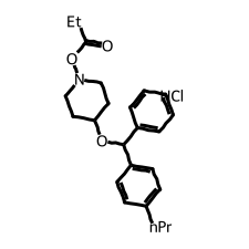 CCCc1ccc(C(OC2CCN(OC(=O)CC)CC2)c2ccccc2)cc1.Cl